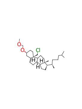 COCO[C@H]1CC[C@@]2(CCl)C(=CC[C@@H]3[C@@H]2CC[C@]2(C)[C@@H]([C@H](C)CCCC(C)C)CC[C@@H]32)C1